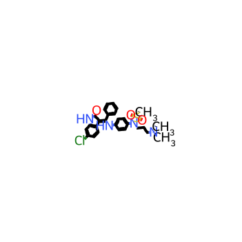 CN(C)CCCN(c1ccc(NC(=C2C(=O)Nc3cc(Cl)ccc32)c2ccccc2)cc1)S(C)(=O)=O